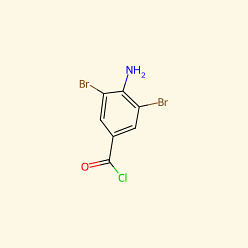 Nc1c(Br)cc(C(=O)Cl)cc1Br